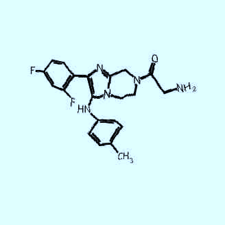 Cc1ccc(Nc2c(-c3ccc(F)cc3F)nc3n2CCN(C(=O)CN)C3)cc1